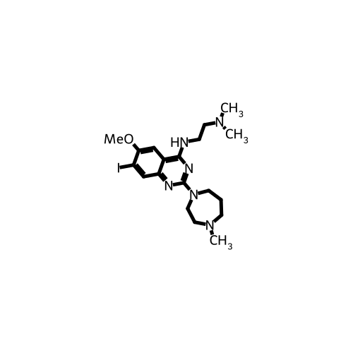 COc1cc2c(NCCN(C)C)nc(N3CCCN(C)CC3)nc2cc1I